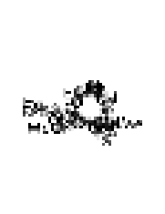 CC[C@H]1OC(=O)[C@H](C)[C@@H](O[C@H]2C[C@@](C)(OC)[C@@H](OC(=O)CCN(CC)CC)[C@H](C)O2)[C@H](C)[C@@H](O[C@@H]2O[C@H](C)C[C@H](NC)[C@H]2O)[C@](C)(O)C[C@@H](C)C(=O)N[C@H](C)[C@H](O)[C@]1(C)O